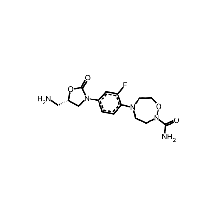 NC[C@H]1CN(c2ccc(N3CCON(C(N)=O)CC3)c(F)c2)C(=O)O1